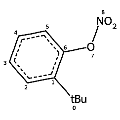 CC(C)(C)c1ccccc1O[N+](=O)[O-]